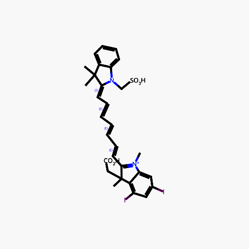 C[N+]1=C(/C=C/C=C/C=C/C=C2\N(CS(=O)(=O)O)c3ccccc3C2(C)C)C(C)(CC(=O)O)c2c(I)cc(I)cc21